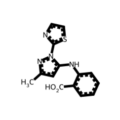 Cc1cc(Nc2ccccc2C(=O)O)n(-c2nccs2)n1